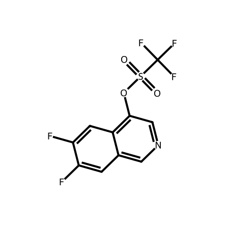 O=S(=O)(Oc1cncc2cc(F)c(F)cc12)C(F)(F)F